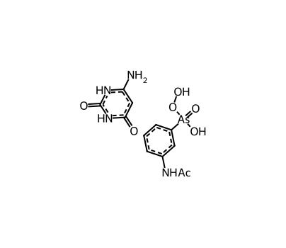 CC(=O)Nc1cccc([As](=O)(O)OO)c1.Nc1cc(=O)[nH]c(=O)[nH]1